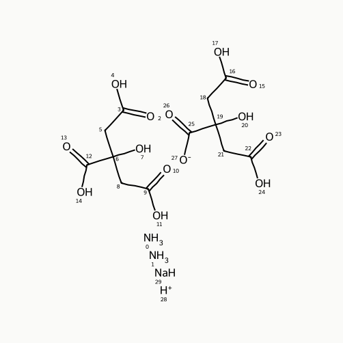 N.N.O=C(O)CC(O)(CC(=O)O)C(=O)O.O=C(O)CC(O)(CC(=O)O)C(=O)[O-].[H+].[NaH]